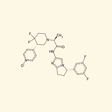 C[C@@H](C(=O)Nc1cn2c(n1)CC[C@H]2c1cc(F)cc(F)c1)N1CCC(F)(F)[C@@H](c2cc[n+]([O-])cc2)C1